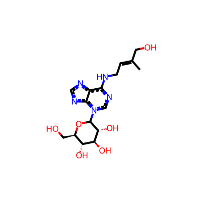 C/C(=C\CNc1ncn(C2O[C@H](CO)[C@@H](O)[C@H](O)[C@H]2O)c2ncnc1-2)CO